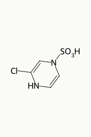 O=S(=O)(O)N1C=CNC(Cl)=C1